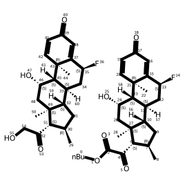 CCCCOC(=O)C(=O)[C@H]1[C@H](C)C[C@H]2[C@@H]3C[C@H](F)C4=CC(=O)C=C[C@]4(C)[C@H]3[C@@H](O)C[C@@]21C.C[C@@H]1C[C@H]2[C@@H]3C[C@H](F)C4=CC(=O)C=C[C@]4(C)[C@H]3[C@@H](O)C[C@]2(C)[C@H]1C(=O)CO